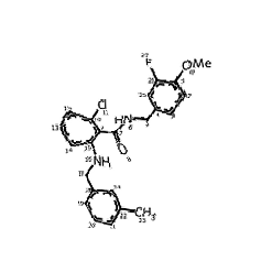 COc1ccc(CNC(=O)c2c(Cl)cccc2NCc2cccc(C)c2)cc1F